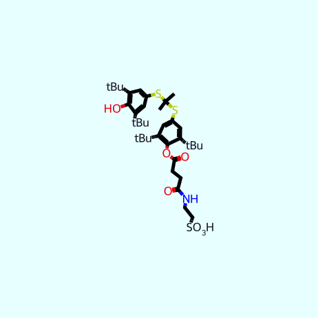 CC(C)(Sc1cc(C(C)(C)C)c(O)c(C(C)(C)C)c1)Sc1cc(C(C)(C)C)c(OC(=O)CCC(=O)NCCS(=O)(=O)O)c(C(C)(C)C)c1